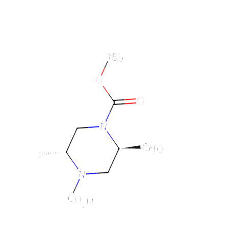 C[C@@H]1CN(C(=O)OC(C)(C)C)[C@@H](C=O)CN1C(=O)O